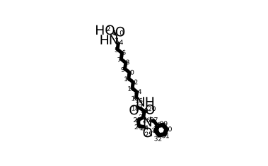 O=C(O)NCCCCCCCCCCCCNC(=O)C(=O)C1CCC(=O)N1Cc1ccccc1